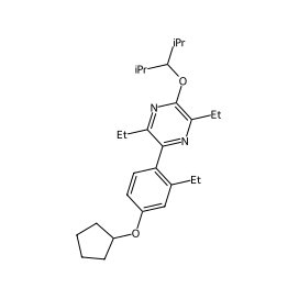 CCc1cc(OC2CCCC2)ccc1-c1nc(CC)c(OC(C(C)C)C(C)C)nc1CC